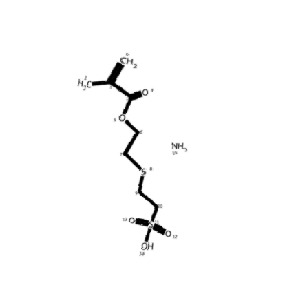 C=C(C)C(=O)OCCSCCS(=O)(=O)O.N